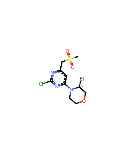 CC[C@H]1COCCN1c1cc(CS(C)(=O)=O)nc(Cl)n1